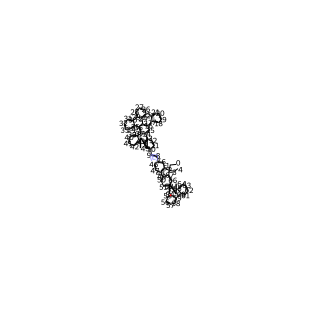 CCC1(CC)c2cc(/C=C/c3ccc(-c4cc(-c5ccccc5)c5c6ccccc6c6ccccc6c5c4-c4ccccc4)nc3)ccc2-c2ccc(-n3c4ccccc4c4ccccc43)cc21